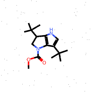 COC(=O)N1CC(C(C)(C)C)c2[nH]cc(C(C)(C)C)c21